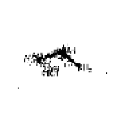 Cl.Cl.Cl.N=C(N)NCCCCCCC(=O)N[C@@H](CO)C(=O)NCCCCNCCCN